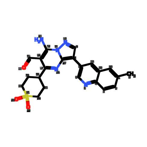 Cc1ccc2ncc(-c3cnn4c(N)c(C=O)c(C5CCS(=O)(=O)CC5)nc34)cc2c1